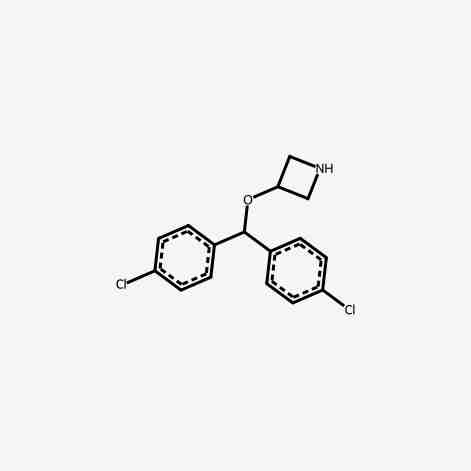 Clc1ccc(C(OC2CNC2)c2ccc(Cl)cc2)cc1